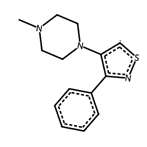 CN1CCN(c2[c]snc2-c2ccccc2)CC1